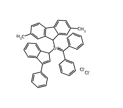 Cc1ccc2c(c1)[CH]([Zr+2](=[C](c1ccccc1)c1ccccc1)[CH]1C=C(c3ccccc3)c3ccccc31)c1cc(C)ccc1-2.[Cl-].[Cl-]